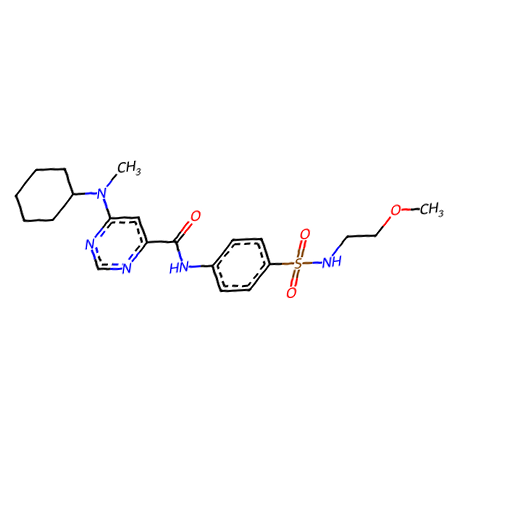 COCCNS(=O)(=O)c1ccc(NC(=O)c2cc(N(C)C3CCCCC3)ncn2)cc1